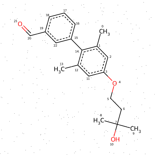 Cc1cc(OCCC(C)(C)O)cc(C)c1-c1cccc(C=O)c1